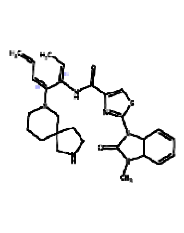 C=C/C=C(\C(=C/C)NC(=O)c1csc(N2C(=O)N(C)C3C=CC=CC32)n1)N1CCCC2(CCNC2)C1